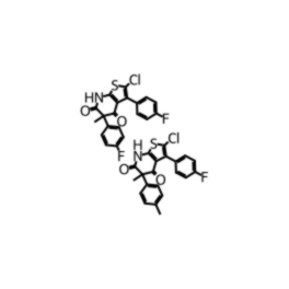 CC1(c2ccc(F)cc2)C(=O)Nc2sc(Cl)c(-c3ccc(F)cc3)c2C1=O.Cc1ccc(C2(C)C(=O)Nc3sc(Cl)c(-c4ccc(F)cc4)c3C2=O)cc1